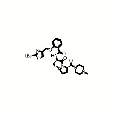 CC(C)C[C@@H](NC(=O)c1ccccc1OCc1coc(C(C)(C)C)n1)C(=O)N1CCC[C@@H]1C(=O)N1CCN(C)CC1